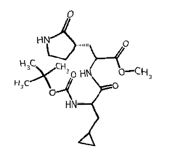 COC(=O)C(C[C@@H]1CCNC1=O)NC(=O)C(CC1CC1)NC(=O)OC(C)(C)C